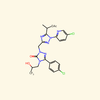 CC(=O)OC(C)c1nc(Cn2nc(-c3ccc(Cl)cc3)n(CC(O)C(F)(F)F)c2=O)nn1-c1ccc(Cl)cn1